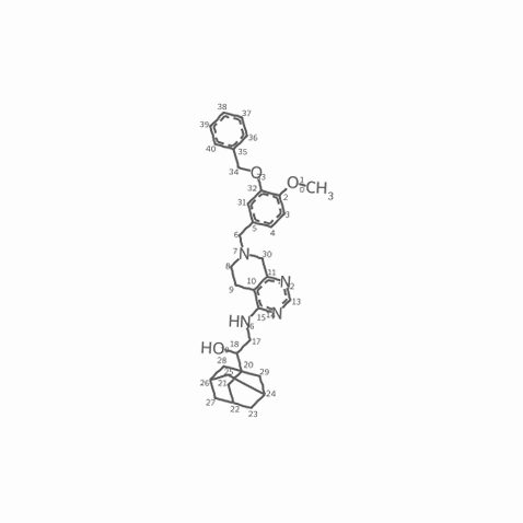 COc1ccc(CN2CCc3c(ncnc3NCC(O)C34CC5CC(CC(C5)C3)C4)C2)cc1OCc1ccccc1